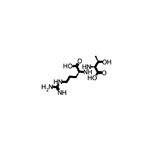 C[C@@H](O)[C@H](NN[C@@H](CCCNC(=N)N)C(=O)O)C(=O)O